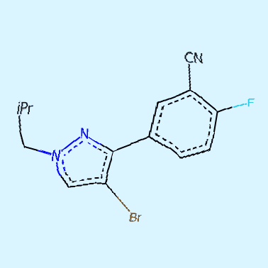 CC(C)Cn1cc(Br)c(-c2ccc(F)c(C#N)c2)n1